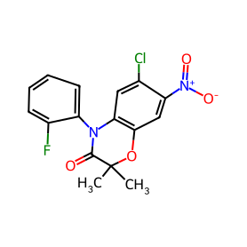 CC1(C)Oc2cc([N+](=O)[O-])c(Cl)cc2N(c2ccccc2F)C1=O